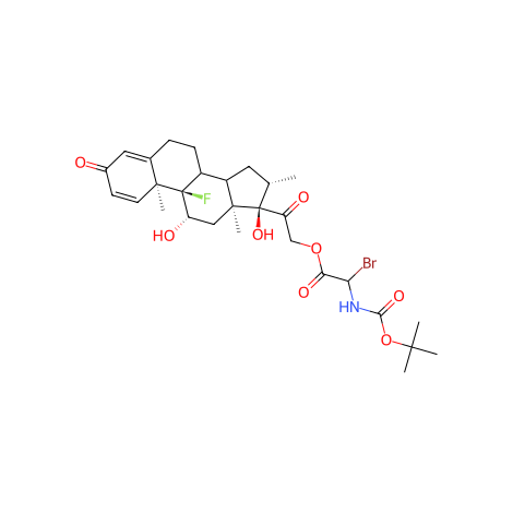 C[C@H]1CC2C3CCC4=CC(=O)C=C[C@]4(C)[C@@]3(F)[C@@H](O)C[C@]2(C)[C@@]1(O)C(=O)COC(=O)C(Br)NC(=O)OC(C)(C)C